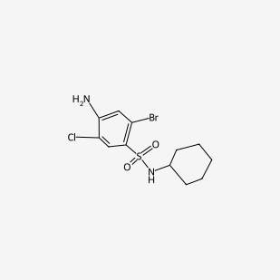 Nc1cc(Br)c(S(=O)(=O)NC2CCCCC2)cc1Cl